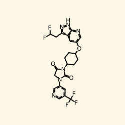 O=C1CN(c2cncc(C(F)(F)F)c2)C(=O)N1C1CCC(Oc2cnc3[nH]nc(CC(F)F)c3c2)CC1